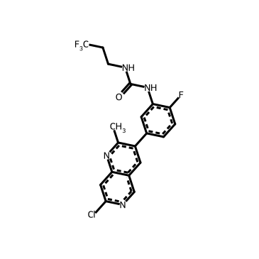 Cc1nc2cc(Cl)ncc2cc1-c1ccc(F)c(NC(=O)NCCC(F)(F)F)c1